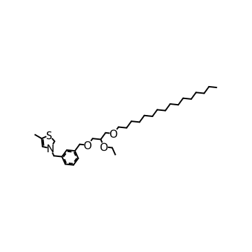 CCCCCCCCCCCCCCCCOCC(COCc1cccc(CN2C=C(C)SC2)c1)OCC